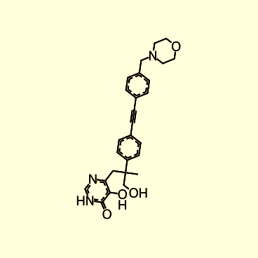 CC(CO)(Cc1nc[nH]c(=O)c1O)c1ccc(C#Cc2ccc(CN3CCOCC3)cc2)cc1